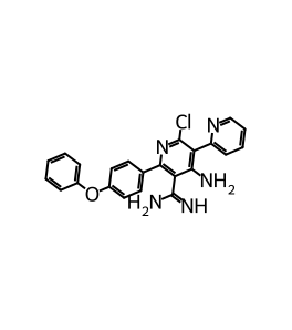 N=C(N)c1c(-c2ccc(Oc3ccccc3)cc2)nc(Cl)c(-c2ccccn2)c1N